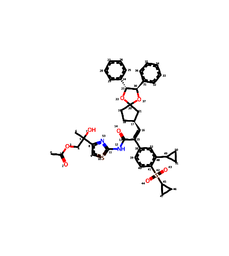 CC(=O)OCC(C)(O)c1csc(NC(=O)C(=C[C@H]2CCC3(C2)O[C@H](c2ccccc2)[C@@H](c2ccccc2)O3)c2ccc(S(=O)(=O)C3CC3)c(C3CC3)c2)n1